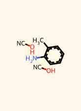 Cc1ccccc1N.N#CO.N#CO